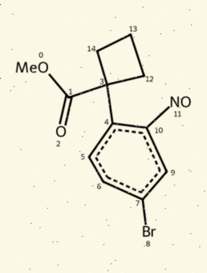 COC(=O)C1(c2ccc(Br)cc2N=O)CCC1